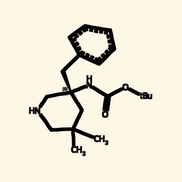 CC1(C)CNC[C@](Cc2ccccc2)(NC(=O)OC(C)(C)C)C1